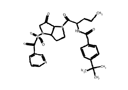 CCCC(NC(=O)c1ccc(C(C)(C)C)cc1)C(=O)N1CCC2C1C(=O)CN2S(=O)(=O)C(=O)c1cccnc1